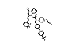 COCCN1CCC(N(Cc2ccc(-c3ccc(C(F)(F)F)cc3)cc2)C(=O)Cn2c(SCC3=C(F)C(C)(F)CC=C3)cc(=O)c3ccccc32)CC1